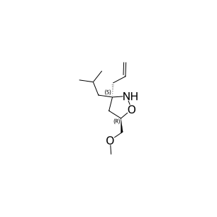 C=CC[C@@]1(CC(C)C)C[C@H](COC)ON1